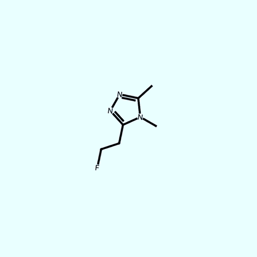 Cc1nnc(CCF)n1C